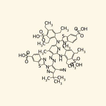 CCc1cc(CC)c(S(=O)(=O)O)c(CC)c1Nc1nc(N(c2nc3ccc(S(=O)(=O)O)cc3s2)c2c(CC)cc(CC)c(S(=O)(=O)O)c2CC)cc(C)c1/N=N/c1c(C#N)c(C(C)(C)C)nn1-c1nc2ccc(S(=O)(=O)O)cc2s1